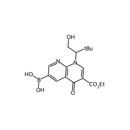 CCOC(=O)c1cn(C(CO)C(C)(C)C)c2ncc(B(O)O)cc2c1=O